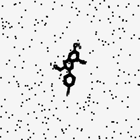 Cc1cc(Br)c2cc(-c3ccc(F)cc3)c(C=O)nc2c1